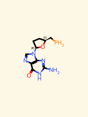 Nc1nc2c(ncn2[C@H]2CC[C@@H](CP)O2)c(=O)[nH]1